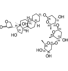 C[C@H]1O[C@@H](O[C@H]2[C@@H](O)C[C@H](O[C@H]3[C@@H](O)C[C@H](O[C@H]4CC[C@@]5(C)[C@H](CC[C@@H]6[C@@H]5CC[C@]5(C)[C@@H](C7=CC(=O)OC7)[C@@H](O)C[C@]65O)C4)O[C@@H]3C)O[C@@H]2C)C[C@H](O)[C@@H]1O